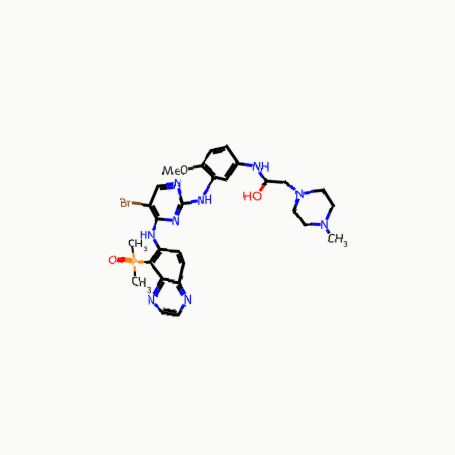 COc1ccc(NC(O)CN2CCN(C)CC2)cc1Nc1ncc(Br)c(Nc2ccc3nccnc3c2P(C)(C)=O)n1